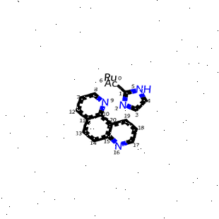 CC(=O)c1ncc[nH]1.[Ru].c1cnc2c(c1)ccc1ncccc12